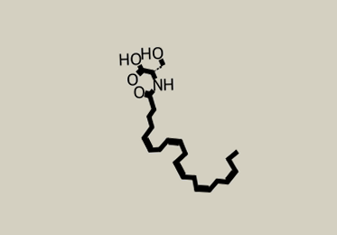 CC/C=C\C/C=C\C/C=C\C/C=C\C/C=C\CCCC(=O)N[C@@H](CO)C(=O)O